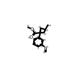 C=Nc1cccc(C2(C(=O)OC)CC(C)C2)c1